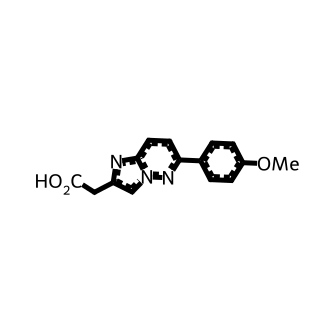 COc1ccc(-c2ccc3nc(CC(=O)O)cn3n2)cc1